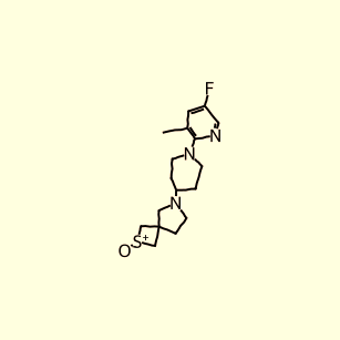 Cc1cc(F)cnc1N1CCC(N2CCC3(C2)C[S+]([O-])C3)CC1